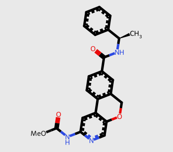 COC(=O)Nc1cc2c(cn1)OCc1cc(C(=O)N[C@H](C)c3ccccc3)ccc1-2